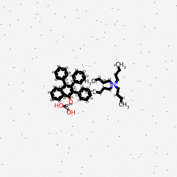 CCCC[N+](CCCC)(CCCC)CCCC.OB(O)Oc1c(-c2ccccc2)c(-c2ccccc2)c(-c2ccccc2)c2ccccc12